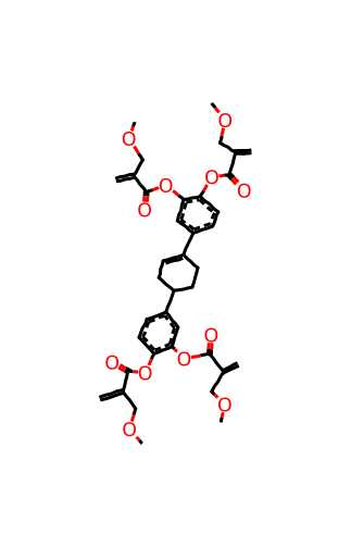 C=C(COC)C(=O)Oc1ccc(C2=CCC(c3ccc(OC(=O)C(=C)COC)c(OC(=O)C(=C)COC)c3)CC2)cc1OC(=O)C(=C)COC